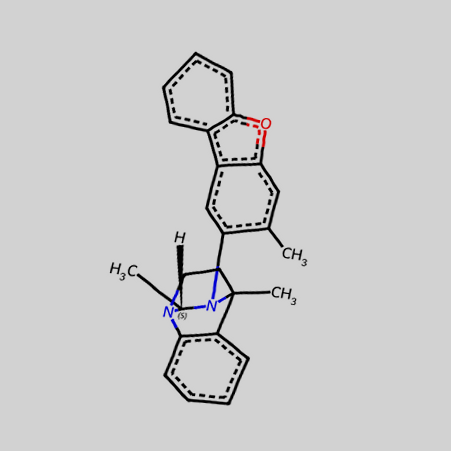 Cc1cc2oc3ccccc3c2cc1N1[C@@H](C)N2CCC1(C)c1ccccc12